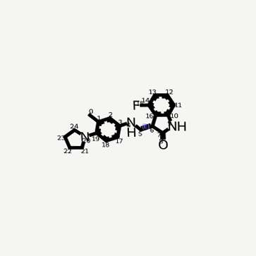 Cc1cc(N/C=C2/C(=O)Nc3cccc(F)c32)ccc1N1CCCC1